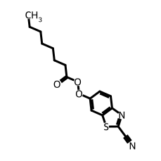 CCCCCCCC(=O)OOc1ccc2nc(C#N)sc2c1